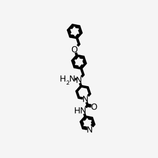 NN(Cc1ccc(OCc2ccccc2)cc1)C1CCN(C(=O)Nc2ccncc2)CC1